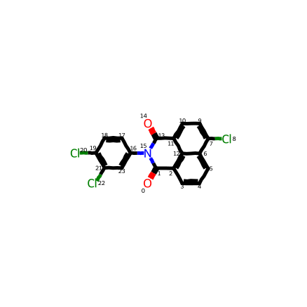 O=C1c2cccc3c(Cl)ccc(c23)C(=O)N1c1ccc(Cl)c(Cl)c1